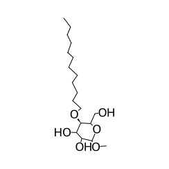 CCCCCCCCCCCCO[C@H]1C(CO)O[C@H](OC)C(O)C1O